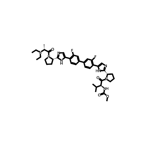 CCN(CC)[C@H](C)C(=O)N1CCC[C@H]1c1ncc(-c2ccc(-c3ccc(-c4cnc([C@@H]5CCCN5C(=O)[C@@H](NC(=O)OC)C(C)C)[nH]4)c(F)c3)cc2F)[nH]1